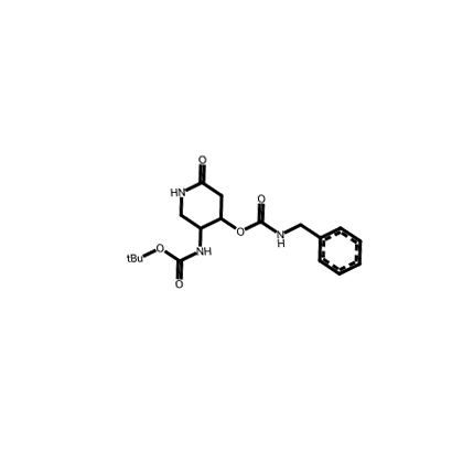 CC(C)(C)OC(=O)NC1CNC(=O)CC1OC(=O)NCc1ccccc1